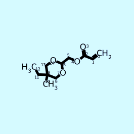 C=CC(=O)OCC1OCC(C)(CC)CO1